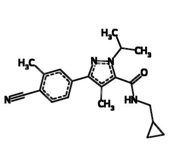 Cc1cc(-c2nn(C(C)C)c(C(=O)NCC3CC3)c2C)ccc1C#N